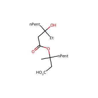 CCCCCC(O)(CC)CC(=O)OC(C)(CCCCC)CC(=O)O